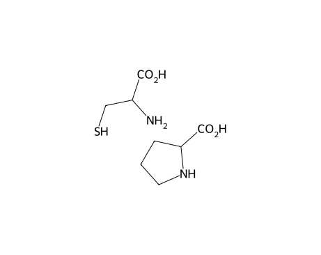 NC(CS)C(=O)O.O=C(O)C1CCCN1